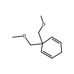 COCC1(COC)C=CCC=C1